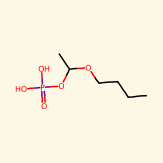 CCCCOC(C)OP(=O)(O)O